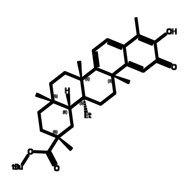 CC[C@@]12CC[C@@]3(C)C4=CC(=O)C(O)=C(C)C4=CC=C3[C@@]1(C)CC[C@@]1(C)CC[C@@](C)(C(=O)OC(C)(C)C)C[C@H]12